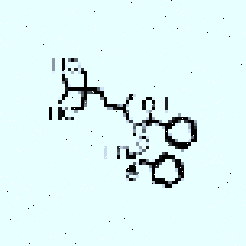 CC(C)CCC(CO)(CO)C(C)C.O=C(O)c1ccccc1.O=S(=O)(O)c1ccccc1